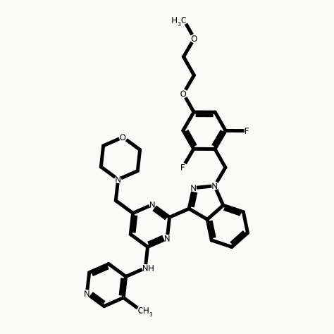 COCCOc1cc(F)c(Cn2nc(-c3nc(CN4CCOCC4)cc(Nc4ccncc4C)n3)c3ccccc32)c(F)c1